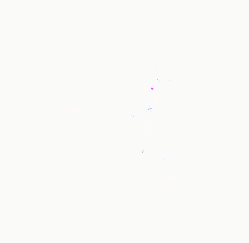 C[C@@H](COc1nc(N2CC3CCC(C2)N3C(=O)OC(C)(C)C)c2cc(Cl)c(-c3cc(O)cc4ccccc34)c(F)c2n1)CN1C2CCC1COC2